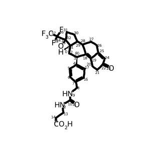 C[C@]12C[C@H](c3ccc(CNC(=O)NCCC(=O)O)cc3)C3=C4CCC(=O)C=C4CCC3C1CC[C@@]2(O)C(F)(F)C(F)(F)F